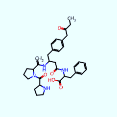 C=C(NC(CC(=O)NC(Cc1ccccc1)C(=O)O)Cc1ccc(CC(=O)CC)cc1)C1CCCN1C(=O)C1CCCN1